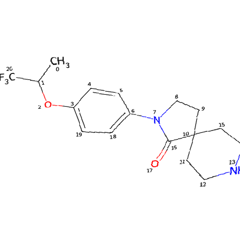 CC(Oc1ccc(N2CCC3(CCNCC3)C2=O)cc1)C(F)(F)F